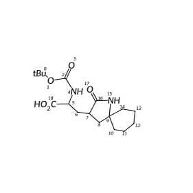 CC(C)(C)OC(=O)NC(CC1CC2(CCCCC2)NC1=O)C(=O)O